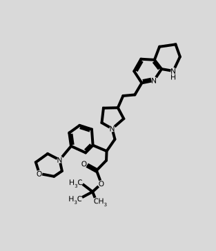 CC(C)(C)OC(=O)CC(CN1CCC(CCc2ccc3c(n2)NCCC3)C1)c1cccc(N2CCOCC2)c1